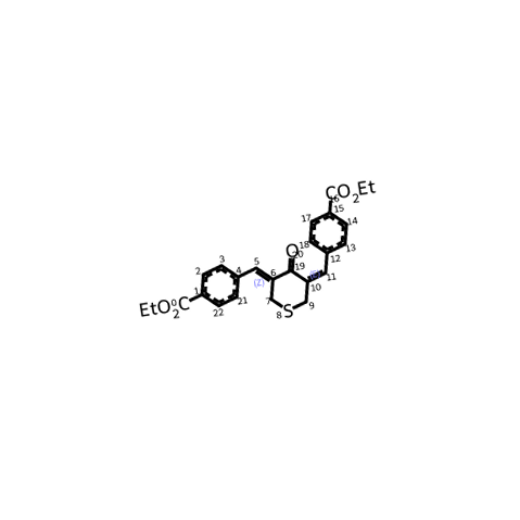 CCOC(=O)c1ccc(/C=C2\CSC/C(=C/c3ccc(C(=O)OCC)cc3)C2=O)cc1